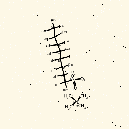 C[N+](C)(C)C.O=S(=O)([O-])C(F)(F)C(F)(F)C(F)(F)C(F)(F)C(F)(F)C(F)(F)C(F)(F)C(F)(F)F